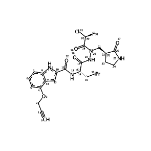 C#CCOc1cccc2[nH]c(C(=O)N[C@@H](CC(C)C)C(=O)NN(C[C@@H]3CCNC3=O)C(=O)[C@H](F)Cl)cc12